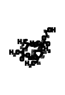 C=C(C)C(=O)OCCO.C=C(CC=C(C)C(=O)O)C(=O)OCCCC.C=Cc1ccccc1